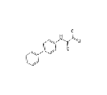 O=C(Cl)C(=O)Nc1ccc(-c2ccccc2)cc1